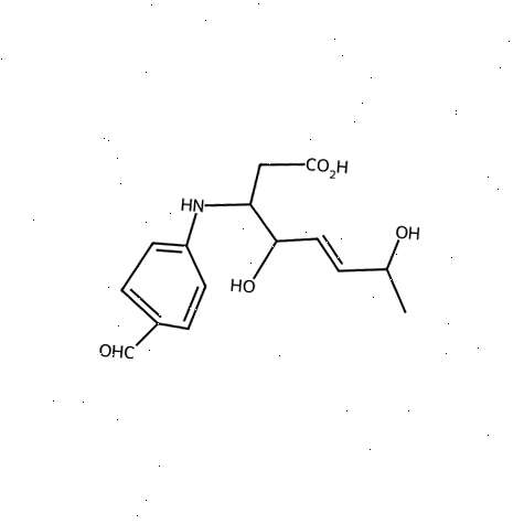 CC(O)C=CC(O)C(CC(=O)O)Nc1ccc(C=O)cc1